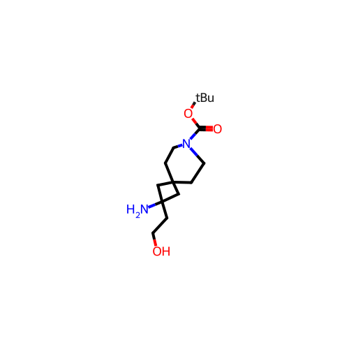 CC(C)(C)OC(=O)N1CCC2(CC1)CC(N)(CCO)C2